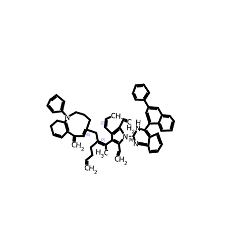 C=CCC/C(C/C1=C/C(=C)C2=C(CCC=C2)N(c2ccccc2)CCC1)=C(\C)c1c(/C=C\C)c(C=C)n([C@H]2N=c3ccccc3=C(c3cc(-c4ccccc4)cc4ccccc34)N2)c1C=C